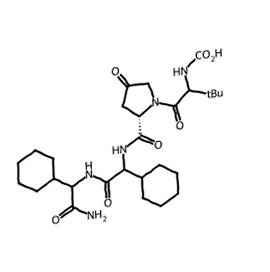 CC(C)(C)C(NC(=O)O)C(=O)N1CC(=O)C[C@H]1C(=O)NC(C(=O)NC(C(N)=O)C1CCCCC1)C1CCCCC1